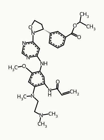 C=CC(=O)Nc1cc(Nc2cc(N3OCC[C@@H]3c3cccc(C(=O)OC(C)C)c3)ncn2)c(OC)cc1N(C)CCN(C)C